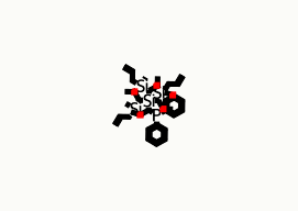 C=CC[Si](C)(C)C(CC)[Si](C(CC)P(c1ccccc1)c1ccccc1)(C(CC)[Si](C)(C)CC=C)C(CC)[Si](C)(C)CC=C